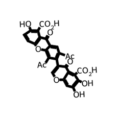 CC(=O)c1cc2c(=O)c3c(C(=O)O)c(O)ccc3oc2c(C(C)=O)c1-c1coc2cc(O)c(O)c(C(=O)O)c2c1=O